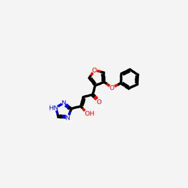 O=C(C=C(O)c1nc[nH]n1)c1cocc1Oc1ccccc1